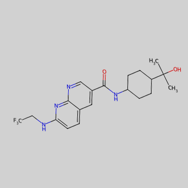 CC(C)(O)C1CCC(NC(=O)c2cnc3nc(NCC(F)(F)F)ccc3c2)CC1